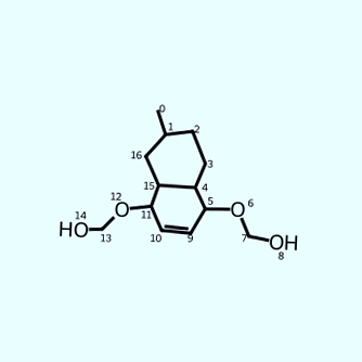 CC1CCC2C(OCO)C=CC(OCO)C2C1